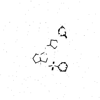 CC[C@H]1O[C@@H](n2cc[nH]c2=O)CC1O[P@@]1O[C@H](CS(=O)(=O)c2ccccc2)[C@@H]2CCCN21